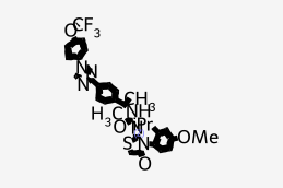 COc1ccc(N2C(=O)CS/C2=N\C(=O)NC(C)(C)c2ccc(-c3ncn(-c4ccc(OC(F)(F)F)cc4)n3)cc2)c(C(C)C)c1